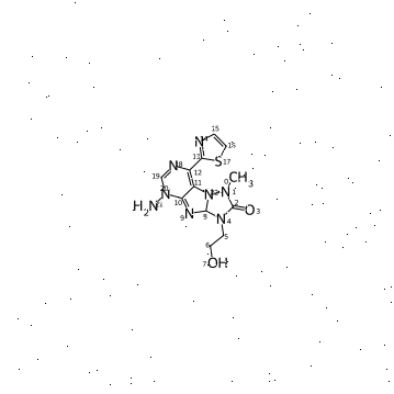 CN1C(=O)N(CCO)C2N=C3C(=C(c4nccs4)N=CN3N)N21